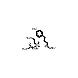 CCCCCCCCCCCC[N+](C)(C)C.CCCCCCCCCNCCCc1ccccc1.CO[N+](=O)OC.Cl